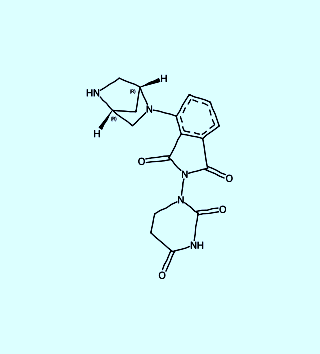 O=C1CCN(N2C(=O)c3cccc(N4C[C@H]5C[C@@H]4CN5)c3C2=O)C(=O)N1